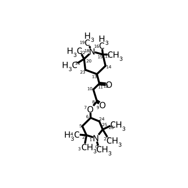 CN1C(C)(C)CC(OC(=O)CC(=O)C2CC(C)(C)N(C)C(C)(C)C2)CC1(C)C